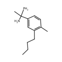 CCCCc1cc(C(C)(N)P)ccc1C